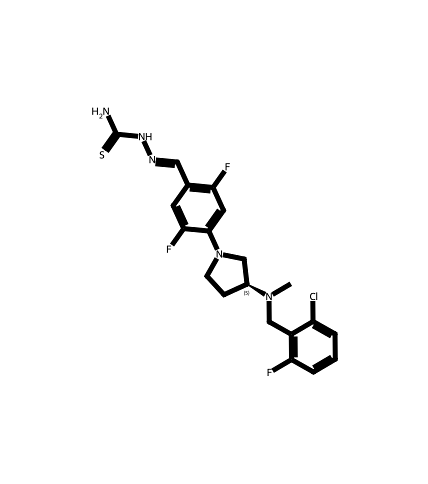 CN(Cc1c(F)cccc1Cl)[C@H]1CCN(c2cc(F)c(C=NNC(N)=S)cc2F)C1